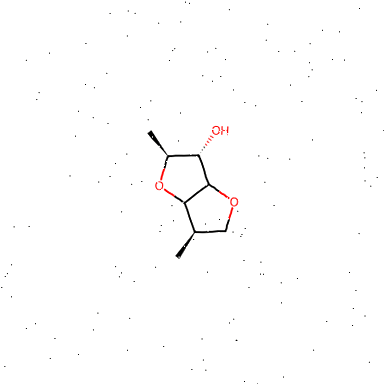 C[C@@H]1COC2C1O[C@@H](C)[C@@H]2O